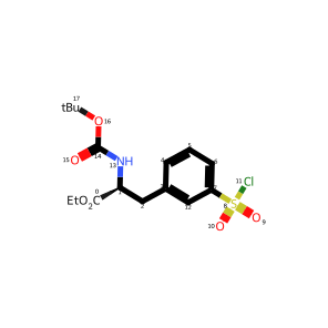 CCOC(=O)[C@H](Cc1cccc(S(=O)(=O)Cl)c1)NC(=O)OC(C)(C)C